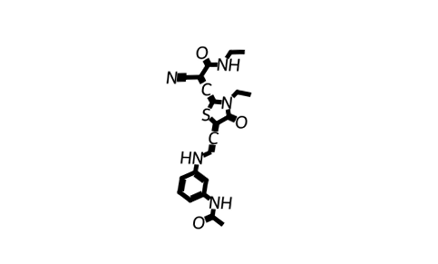 CCNC(=O)C(=C=c1sc(=C=CNc2cccc(NC(C)=O)c2)c(=O)n1CC)C#N